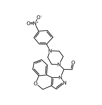 O=CC(N1CCN(c2ccc([N+](=O)[O-])cc2)CC1)n1ncc2c1-c1ccccc1OC2